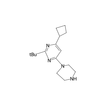 CC(C)(C)c1nc(C2CCC2)cc(N2CCNCC2)n1